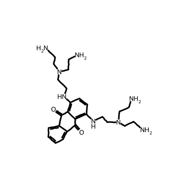 NCCN(CCN)CCNc1ccc(NCCN(CCN)CCN)c2c1C(=O)c1ccccc1C2=O